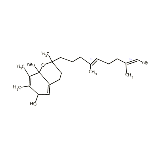 CCCC/C=C(\C)CC/C=C(\C)CCCC1(C)CCC2=CC(O)C(C)=C(C)C2(CCCC)O1